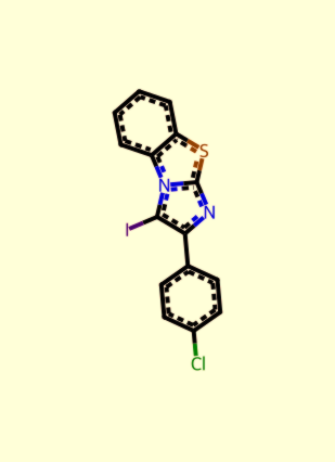 Clc1ccc(-c2nc3sc4ccccc4n3c2I)cc1